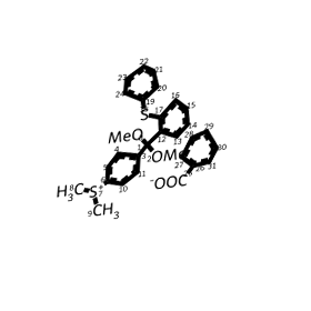 COC(OC)(c1ccc([S+](C)C)cc1)c1ccccc1Sc1ccccc1.O=C([O-])c1ccccc1